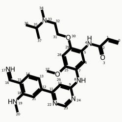 C=CC(=O)Nc1cc(Nc2cc(-c3ccc(C=N)c(NC)c3)ncn2)c(OC)cc1OCCN(C)C(C)C